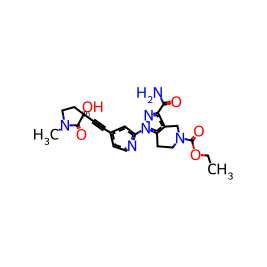 CCOC(=O)N1CCc2c(c(C(N)=O)nn2-c2cc(C#C[C@]3(O)CCN(C)C3=O)ccn2)C1